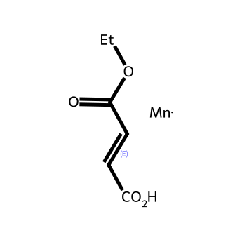 CCOC(=O)/C=C/C(=O)O.[Mn]